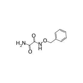 NC(=O)C(=O)NOCc1ccccc1